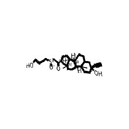 C#CC1(O)CC[C@@]2(C)C(CC[C@H]3[C@@H]4CC[C@H](C(=O)C[S+]([O-])CCCO)[C@@]4(C)CC[C@@H]32)C1